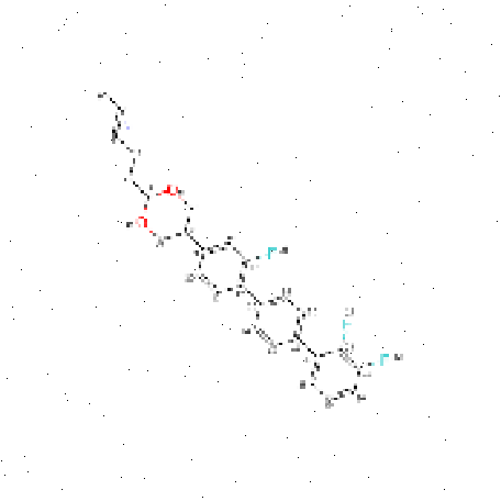 C/C=C/CCC1OCC(c2ccc(-c3ccc(-c4cccc(F)c4F)cc3)c(F)c2)CO1